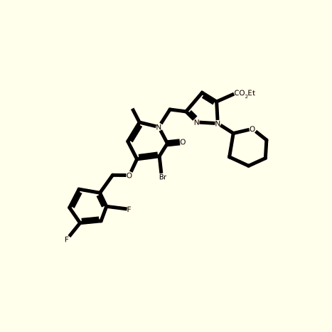 CCOC(=O)c1cc(Cn2c(C)cc(OCc3ccc(F)cc3F)c(Br)c2=O)nn1C1CCCCO1